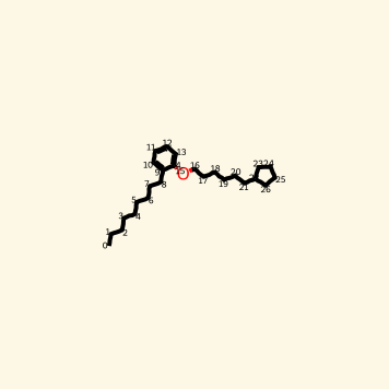 CCCCCCCCCc1cc[c]cc1OCCCCCCC1CCCC1